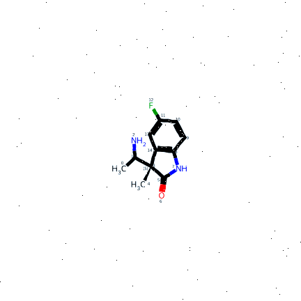 CC(N)[C@@]1(C)C(=O)Nc2ccc(F)cc21